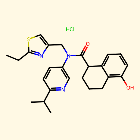 CCc1nc(CN(C(=O)C2CCCc3c(O)cccc32)c2ccc(C(C)C)nc2)cs1.Cl